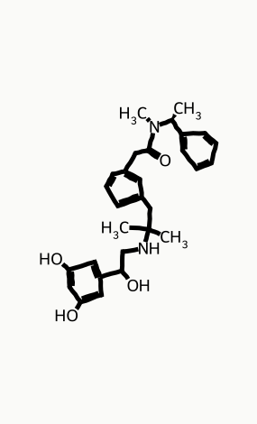 C[C@@H](c1ccccc1)N(C)C(=O)Cc1cccc(CC(C)(C)NCC(O)c2cc(O)cc(O)c2)c1